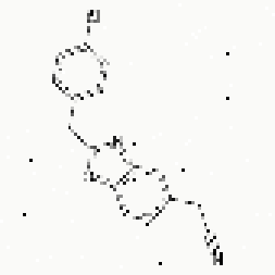 N#CCc1ccc2oc(Cc3ccc(Cl)cc3)nc2c1